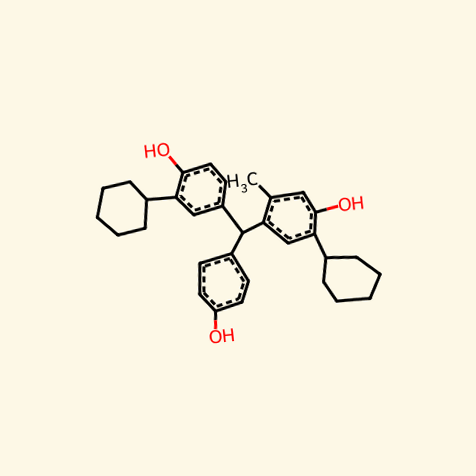 Cc1cc(O)c(C2CCCCC2)cc1C(c1ccc(O)cc1)c1ccc(O)c(C2CCCCC2)c1